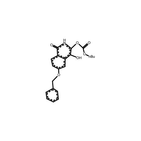 CCCCOC(=O)Oc1[nH]c(=O)c2ccc(OCc3ccccc3)cc2c1O